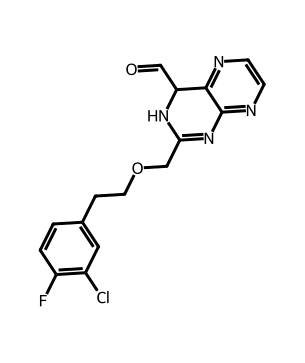 O=CC1NC(COCCc2ccc(F)c(Cl)c2)=Nc2nccnc21